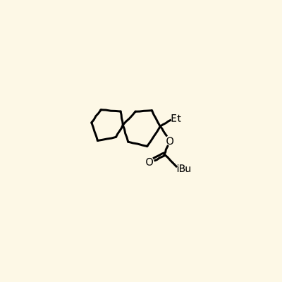 CCC(C)C(=O)OC1(CC)CCC2(CCCCC2)CC1